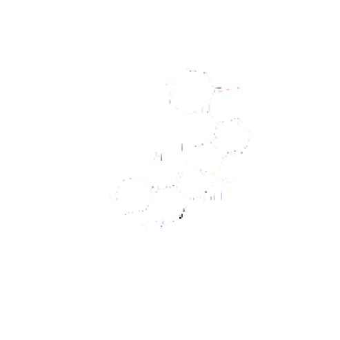 CCc1c(N2CCOCCC2=O)cccc1S(=O)(=O)N[C@@H](CN)C(=O)N1CCOC[C@@H]1C